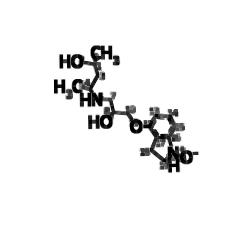 CC(O)CC(C)NCC(O)COc1cccc2c1CC[NH+]2[O-]